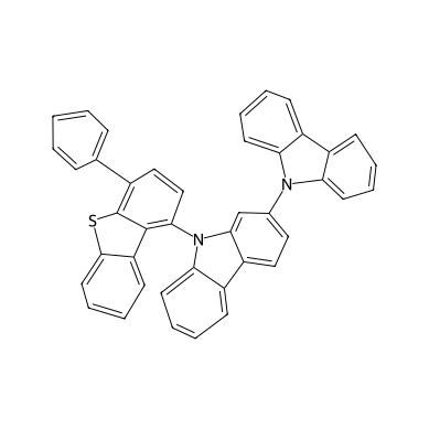 c1ccc(-c2ccc(-n3c4ccccc4c4ccc(-n5c6ccccc6c6ccccc65)cc43)c3c2sc2ccccc23)cc1